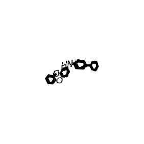 c1ccc(-c2ccc(Nc3ccc4c(c3)Oc3ccccc3O4)cc2)cc1